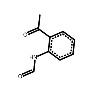 CC(=O)c1ccccc1NC=O